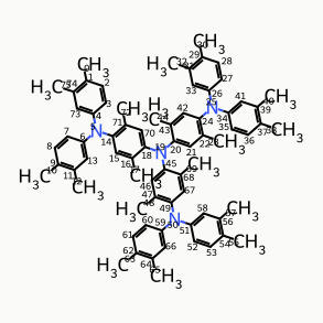 Cc1ccc(N(c2ccc(C)c(C)c2)c2cc(C)c(N(c3cc(C)c(N(c4ccc(C)c(C)c4)c4ccc(C)c(C)c4)cc3C)c3cc(C)c(N(c4ccc(C)c(C)c4)c4ccc(C)c(C)c4)cc3C)cc2C)cc1C